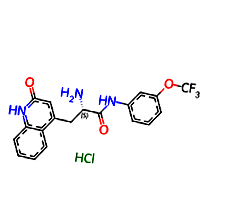 Cl.N[C@@H](Cc1cc(=O)[nH]c2ccccc12)C(=O)Nc1cccc(OC(F)(F)F)c1